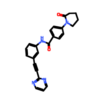 O=C(Nc1cccc(C#Cc2ncccn2)c1)c1ccc(N2CCCCC2=O)cc1